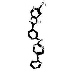 FC(F)(F)c1cc2[nH]c(-c3cccc(Nc4ncc(-c5ccccn5)cn4)c3)nc2cn1